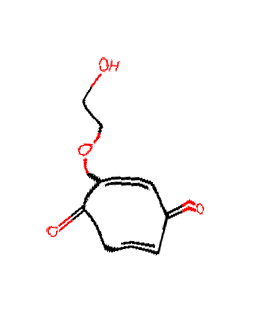 O=C1C=CC(=O)C(OCCO)=C1